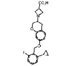 O=C(O)C1CN(C2COc3cc(OCc4c(F)cccc4C4CC4)ccc3C2)C1